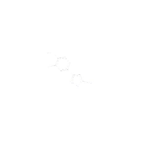 COc1ccc(-c2cc(N)[nH]n2)cc1I